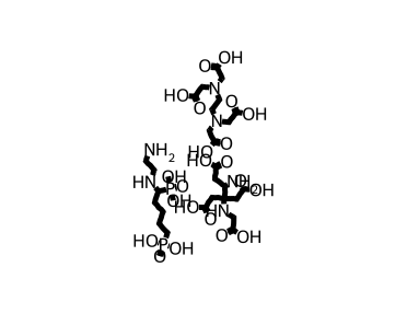 NC(CC(=O)O)C(CC(=O)O)(CC(=O)O)NCC(=O)O.NCCNC(CCCCP(=O)(O)O)P(=O)(O)O.O=C(O)CN(CCN(CC(=O)O)CC(=O)O)CC(=O)O